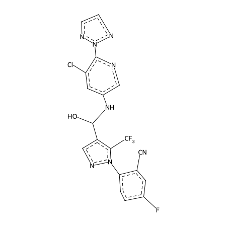 N#Cc1cc(F)ccc1-n1ncc(C(O)Nc2cnc(-n3nccn3)c(Cl)c2)c1C(F)(F)F